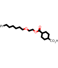 CC(C)CCCCCCOCCOC(=O)C1CCC(C(=O)O)CC1